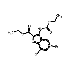 CCOC(=O)Nc1c(C(=O)OCC)oc2c(Cl)cc(Br)cc12